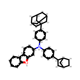 c1ccc2c(c1)oc1cc(N(c3ccc(C4CC5CCC4C5)cc3)c3ccc(C45CC6CC(CC(C6)C4)C5)cc3)ccc12